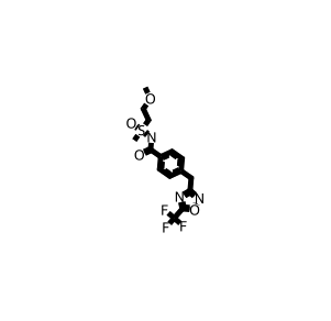 COCCS(C)(=O)=NC(=O)c1ccc(Cc2noc(C(F)(F)F)n2)cc1